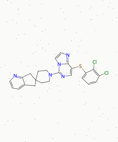 Clc1cccc(Sc2cnc(N3CCC4(CC3)Cc3cccnc3C4)n3ccnc23)c1Cl